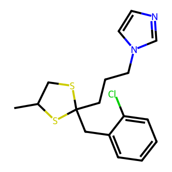 CC1CSC(CCCn2ccnc2)(Cc2ccccc2Cl)S1